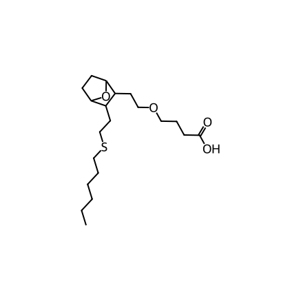 CCCCCCSCCC1C2CCC(O2)C1CCOCCCC(=O)O